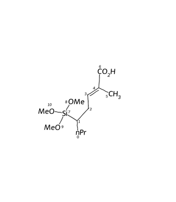 CCCC(CC=C(C)C(=O)O)[Si](OC)(OC)OC